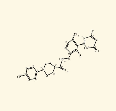 Cc1cc(=O)[nH]c(-c2c(C(F)(F)F)ccc(CNC(=O)C3CCN(c4ccc(Cl)cc4)CC3)c2F)n1